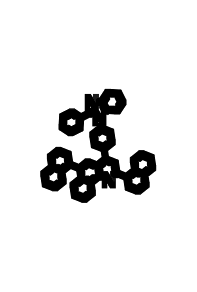 c1ccc(-c2nc3ccccc3n2-c2ccc(-c3cc(-c4cccc5ccccc45)nc4c3cc(-c3cccc5ccccc35)c3ccccc34)cc2)cc1